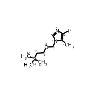 Cc1c(I)ncn1COCC[Si](C)(C)C